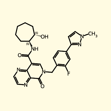 Cn1ccc(-c2ccc(Cn3cc(C(=O)N[C@H]4CCCCC[C@@H]4O)c4nccnc4c3=O)c(F)c2)n1